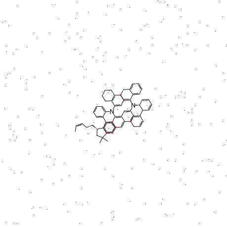 C/C=C\CC[C@@H]1CC(C)(C)c2cc3cc4ccc(N(C5=CCCc6ccccc65)[C@H]5C=CC=CC5C5=CCCC=C5)cc4c(N(C4=CCCC5=C4CCCC5)c4ccccc4-c4ccccc4)c3cc21